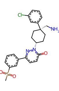 CS(=O)(=O)c1cccc(-c2ccc(=O)n([C@H]3CC[C@](CN)(c4cccc(Cl)c4)CC3)n2)c1